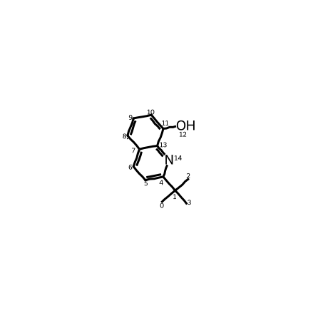 CC(C)(C)c1ccc2[c]ccc(O)c2n1